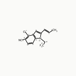 CC=Cc1cc2c(Cl)c(C#N)ccc2n1CC(F)(F)F